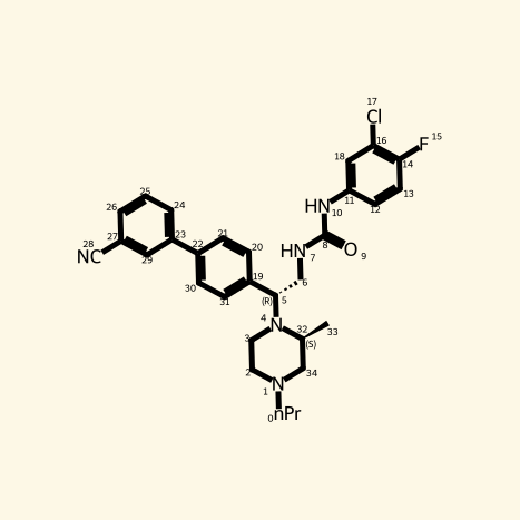 CCCN1CCN([C@@H](CNC(=O)Nc2ccc(F)c(Cl)c2)c2ccc(-c3cccc(C#N)c3)cc2)[C@@H](C)C1